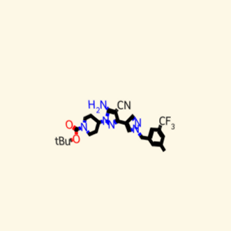 Cc1cc(Cn2cc(-c3nn(C4CCN(C(=O)OC(C)(C)C)CC4)c(N)c3C#N)cn2)cc(C(F)(F)F)c1